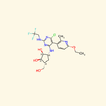 CCOc1ccc(-c2c(Cl)nc(NCC(F)(F)F)nc2N[C@@H]2C[C@H](CO)[C@@H](O)[C@H]2O)c(C)n1